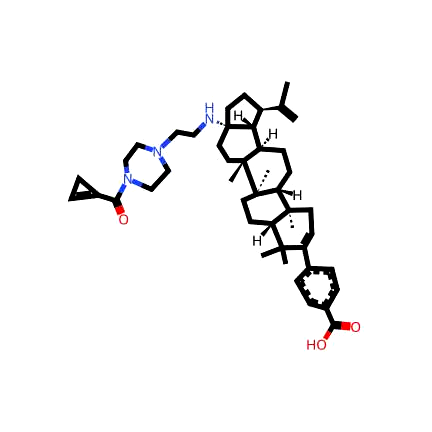 C=C(C)[C@@H]1CC[C@]2(NCCN3CCN(C(=O)C4=CC4)CC3)CC[C@]3(C)[C@H](CC[C@@H]4[C@@]5(C)CC=C(c6ccc(C(=O)O)cc6)C(C)(C)[C@@H]5CC[C@]43C)[C@@H]12